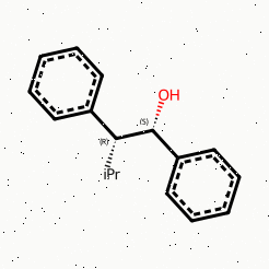 CC(C)[C@H](c1ccccc1)[C@H](O)c1ccccc1